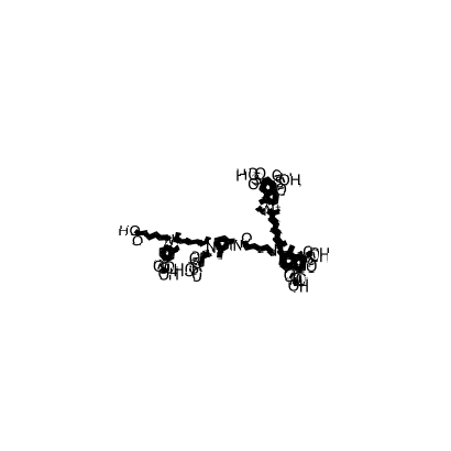 CC\[N+](=C(C)/C=C/C=C/C=C(\C)N(CCCCCC(=O)NCc1ccc(/[N+](CCCS(=O)(=O)O)=C(C)/C=C/C=C/C=C(\C)N(CCCCCC(=O)O)c2ccc(S(=O)(=O)O)cc2C)c(C)c1)c1ccc2c(S(=O)(=O)O)cc(S(=O)(=O)O)cc2c1C)c1ccc2c(S(=O)(=O)O)cc(S(=O)(=O)O)cc2c1C